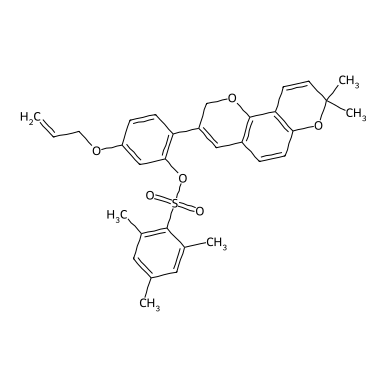 C=CCOc1ccc(C2=Cc3ccc4c(c3OC2)C=CC(C)(C)O4)c(OS(=O)(=O)c2c(C)cc(C)cc2C)c1